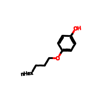 CCCCCCCCCOc1ccc(O)cc1